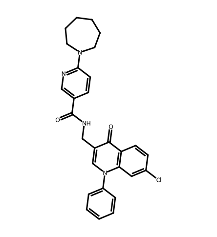 O=C(NCc1cn(-c2ccccc2)c2cc(Cl)ccc2c1=O)c1ccc(N2CCCCCC2)nc1